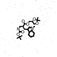 Cn1cc(CC(/C=N\C(=O)OC(C)(C)C)C(=O)OCC2COC(C)(C)O2)c2ccccc21